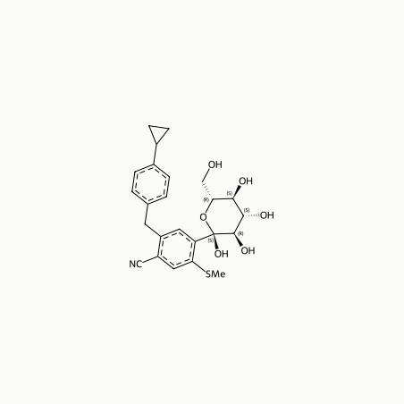 CSc1cc(C#N)c(Cc2ccc(C3CC3)cc2)cc1[C@]1(O)O[C@H](CO)[C@@H](O)[C@H](O)[C@H]1O